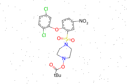 CC(C)(C)C(=O)ON1CCN(S(=O)(=O)c2cc([N+](=O)[O-])ccc2Oc2cc(Cl)ccc2Cl)CC1